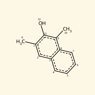 Cc1cc2ccccc2c(C)c1O